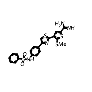 CSc1sc(C(=N)N)cc1-c1nc(-c2ccc(NS(=O)(=O)c3ccccc3)cc2)cs1